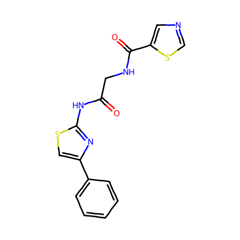 O=C(CNC(=O)c1cncs1)Nc1nc(-c2ccccc2)cs1